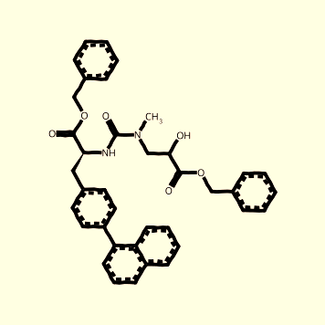 CN(CC(O)C(=O)OCc1ccccc1)C(=O)N[C@@H](Cc1ccc(-c2cccc3ccccc23)cc1)C(=O)OCc1ccccc1